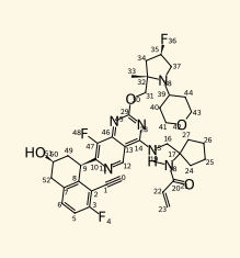 C#Cc1c(F)ccc2c1[C@H](c1ncc3c(NCC4(N(C)C(=O)C=C)CCCC4)nc(OC[C@]4(C)C[C@@H](F)CN4C4CCOCC4)nc3c1F)C[C@H](O)C2